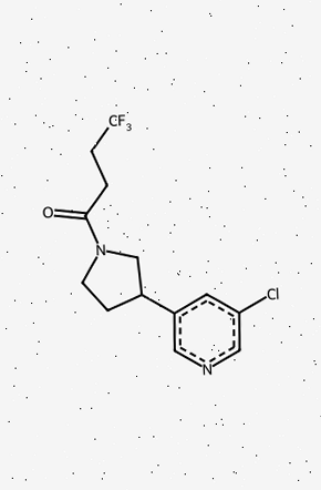 O=C(CCC(F)(F)F)N1CCC(c2cncc(Cl)c2)C1